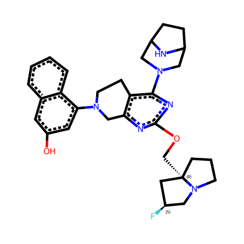 Oc1cc(N2CCc3c(nc(OC[C@]45CCCN4C[C@@H](F)C5)nc3N3CC4CCC(C3)N4)C2)c2ccccc2c1